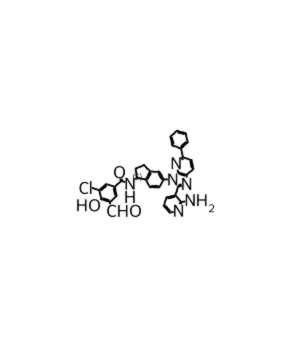 Nc1ncccc1-c1nc2ccc(-c3ccccc3)nc2n1-c1ccc2c(c1)CC[C@@H]2NC(=O)c1cc(Cl)c(O)c(C=O)c1